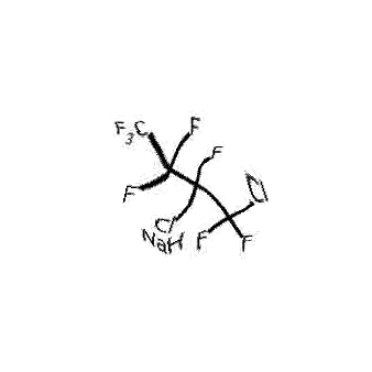 FC(F)(F)C(F)(F)C(F)(Cl)C(F)(F)Cl.[NaH]